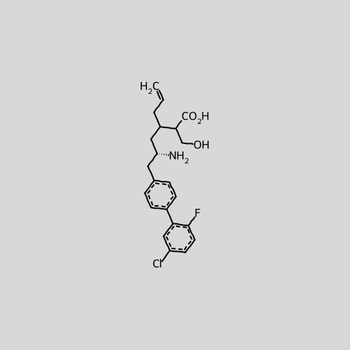 C=CCC(C[C@H](N)Cc1ccc(-c2cc(Cl)ccc2F)cc1)C(CO)C(=O)O